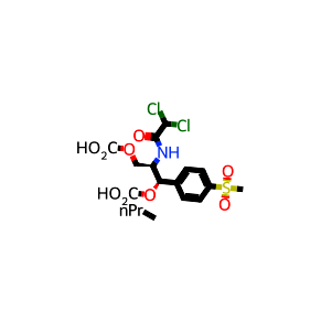 CCCC.CS(=O)(=O)c1ccc([C@@H](OC(=O)O)[C@@H](COC(=O)O)NC(=O)C(Cl)Cl)cc1